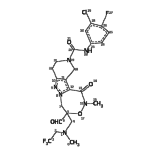 CN(CC(F)(F)F)CC1(C=O)Cn2nc3c(c2C(=O)N(C)O1)CN(C(=O)Nc1ccc(F)c(Cl)c1)CC3